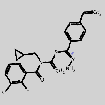 C=Cc1ccc(/C(=N/N)SC(=C)N(CC2CC2)C(=O)c2cccc(Cl)c2F)cc1